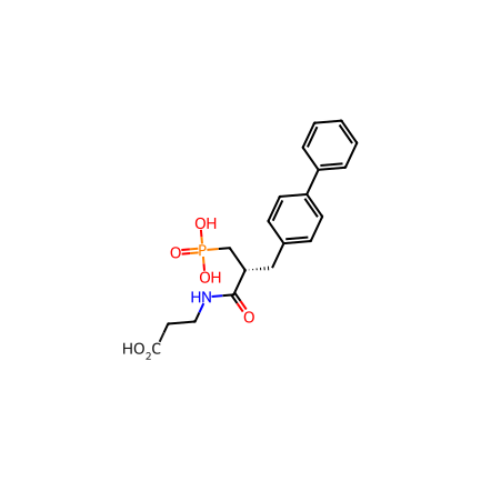 O=C(O)CCNC(=O)[C@@H](Cc1ccc(-c2ccccc2)cc1)CP(=O)(O)O